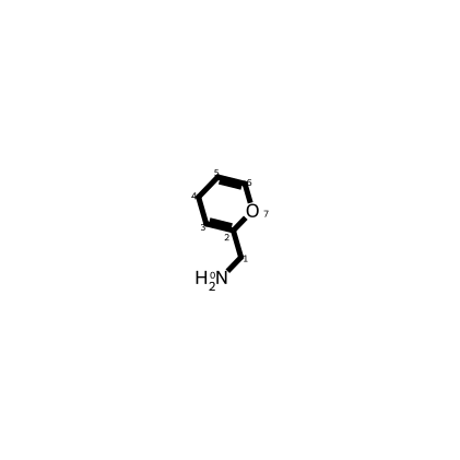 NCC1=CCC=CO1